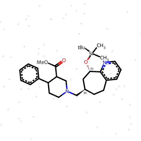 COC(=O)C1CN(C[C@@H]2CCc3cccnc3[C@@H](O[Si](C)(C)C(C)(C)C)C2)CCC1c1ccccc1